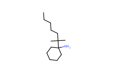 CCCCCC(C)(C)C1(N)CCCCC1